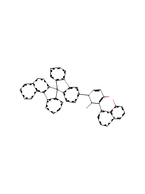 CC1C2=C(C=CC1c1ccc3c(c1)-c1ccccc1C31c3ccccc3-c3c1ccc1ccccc31)Oc1cccc3cccc2c13